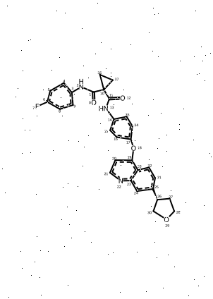 O=C(Nc1ccc(F)cc1)C1(C(=O)Nc2ccc(Oc3ccnc4cc([C@H]5CCOC5)ccc34)cc2)CC1